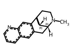 CN1CCC23CCCC[C@H]2[C@H]1Cc1cc2cccnc2cc13